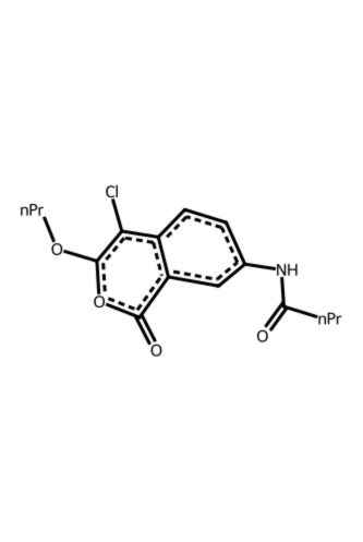 CCCOc1oc(=O)c2cc(NC(=O)CCC)ccc2c1Cl